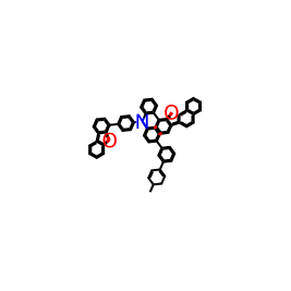 CC1C=CC(c2cccc(-c3ccc(N(c4ccc(-c5cccc6c5oc5ccccc56)cc4)c4ccccc4-c4cccc5c4oc4c6ccccc6ccc54)cc3)c2)=CC1